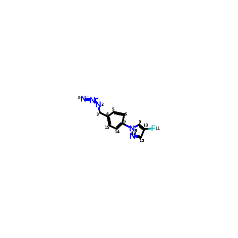 [N-]=[N+]=NCc1ccc(-n2cc(F)cn2)cc1